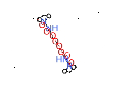 O=C(CCOCCOCCOCCOCCC(=O)NCCC(=O)N1Cc2ccccc2C#Cc2ccccc21)NCCC(=O)N1Cc2ccccc2C#Cc2ccccc21